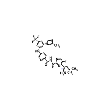 CC(C)=C/C(=C\N)c1nc(NNC(=O)c2ccc(Nc3cc(-n4cnc(C)c4)cc(C(F)(F)F)c3)cn2)ncc1F